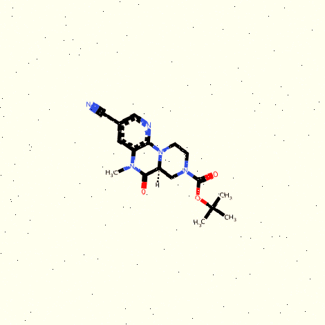 CN1C(=O)[C@@H]2CN(C(=O)OC(C)(C)C)CCN2c2ncc(C#N)cc21